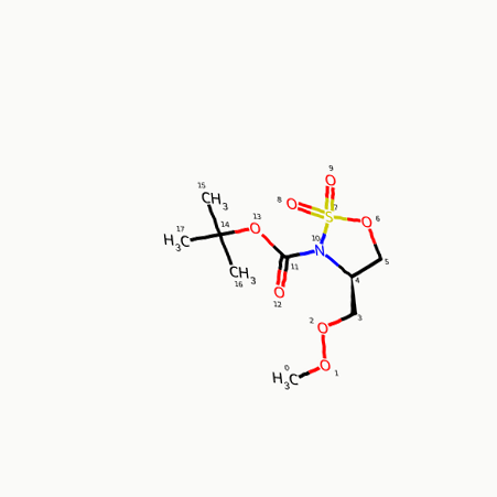 COOC[C@@H]1COS(=O)(=O)N1C(=O)OC(C)(C)C